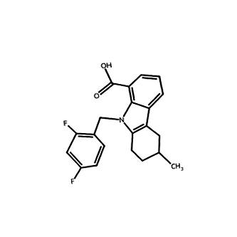 CC1CCc2c(c3cccc(C(=O)O)c3n2Cc2ccc(F)cc2F)C1